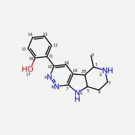 CC1NCCC2Nc3nnc(-c4ccccc4O)cc3C12